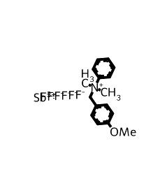 COc1ccc(C[N+](C)(C)c2ccccc2)cc1.[F-].[F-].[F-].[F-].[F-].[F-].[Sb+3]